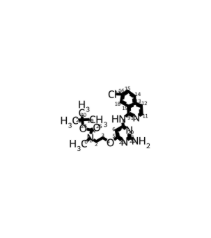 CN(CCOc1cc(Nc2nccc3ccc(Cl)cc23)nc(N)n1)C(=O)OC(C)(C)C